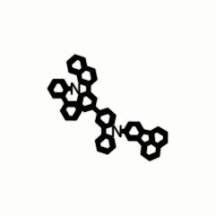 c1ccc(-c2ccccc2-n2c3ccc(-c4ccc5c(c4)c4ccccc4n5-c4ccc5c(c4)-c4cccc6cccc-5c46)cc3c3ccc4ccccc4c32)cc1